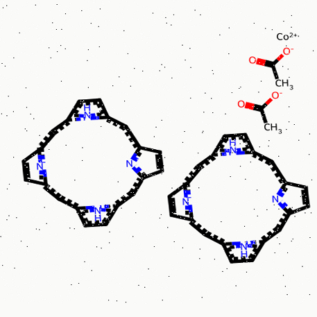 C1=Cc2cc3ccc(cc4nc(cc5ccc(cc1n2)[nH]5)C=C4)[nH]3.C1=Cc2cc3ccc(cc4nc(cc5ccc(cc1n2)[nH]5)C=C4)[nH]3.CC(=O)[O-].CC(=O)[O-].[Co+2]